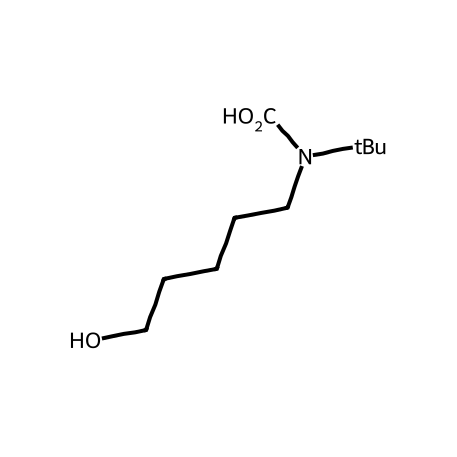 CC(C)(C)N(CCCCCO)C(=O)O